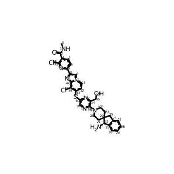 CNC(=O)c1ccc(-c2cn3ccc(Sc4cnc(N5CCC6(CC5)Cc5ccccc5[C@H]6N)c(CO)n4)c(Cl)c3n2)nc1Cl